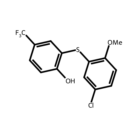 COc1ccc(Cl)cc1Sc1cc(C(F)(F)F)ccc1O